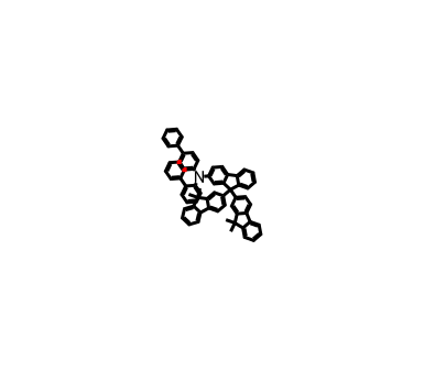 CC1(C)c2ccccc2-c2ccc(C3(c4ccc5c(c4)C(C)(C)c4ccccc4-5)c4ccccc4-c4ccc(N(c5ccc(-c6ccccc6)cc5)c5ccccc5-c5ccccc5)cc43)cc21